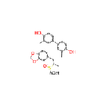 CCCCCCCC[S+]([O-])C(C)Cc1ccc2c(c1)OCO2.Cc1cc(-c2ccc(O)c(C)c2)ccc1O